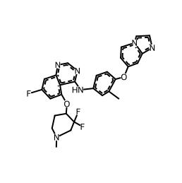 Cc1cc(Nc2ncnc3cc(F)cc(OC4CCN(C)CC4(F)F)c23)ccc1Oc1ccn2ccnc2c1